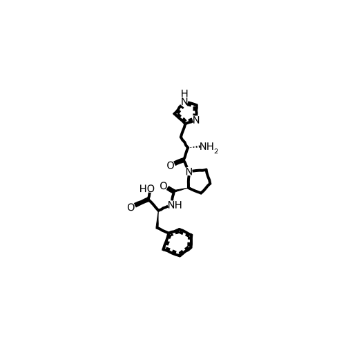 N[C@@H](Cc1c[nH]cn1)C(=O)N1CCC[C@H]1C(=O)N[C@@H](Cc1ccccc1)C(=O)O